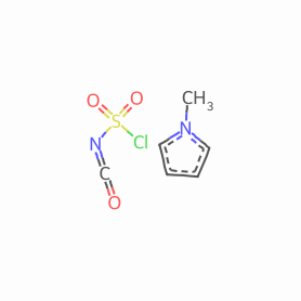 Cn1cccc1.O=C=NS(=O)(=O)Cl